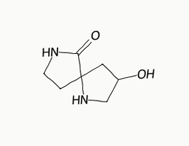 O=C1NCCC12CC(O)CN2